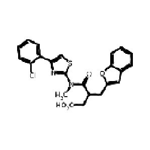 CN(C(=O)C(CC(=O)O)Cc1cc2ccccc2o1)c1nc(-c2ccccc2Cl)cs1